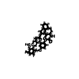 CCCOc1ccc(OC(=O)NC2CCc3cccc4c3N(C2=O)C(C(=O)NC(CC(=O)O)C(=O)COc2c(F)c(F)cc(F)c2F)C4)cc1